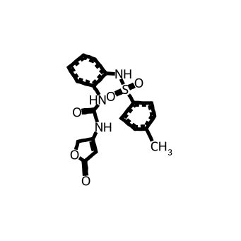 Cc1ccc(S(=O)(=O)Nc2ccccc2NC(=O)NC2=CC(=O)OC2)cc1